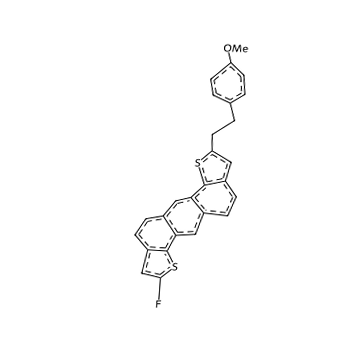 COc1ccc(CCc2cc3ccc4cc5c(ccc6cc(F)sc65)cc4c3s2)cc1